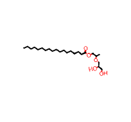 CCCCCCCCCCCCCCCCCC(=O)OCC(C)OCC(O)CO